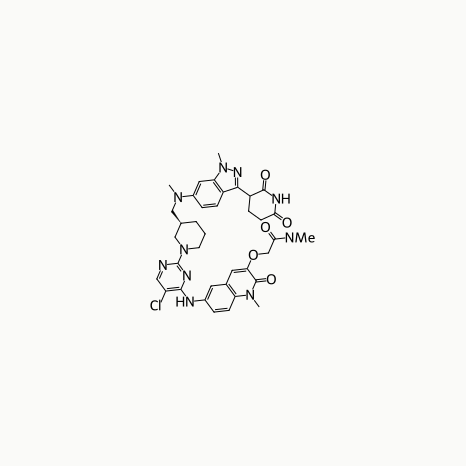 CNC(=O)COc1cc2cc(Nc3nc(N4CCC[C@H](CN(C)c5ccc6c(C7CCC(=O)NC7=O)nn(C)c6c5)C4)ncc3Cl)ccc2n(C)c1=O